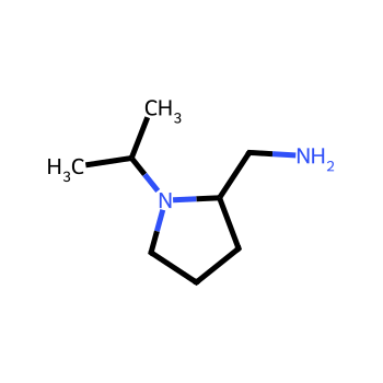 CC(C)N1CCCC1CN